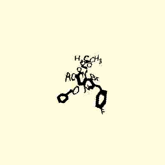 CC(=O)c1c(OCc2ccccc2)c2ncc(Cc3ccc(F)cc3)c(Br)c2n(C[C@@H]2COC(C)(C)O2)c1=O